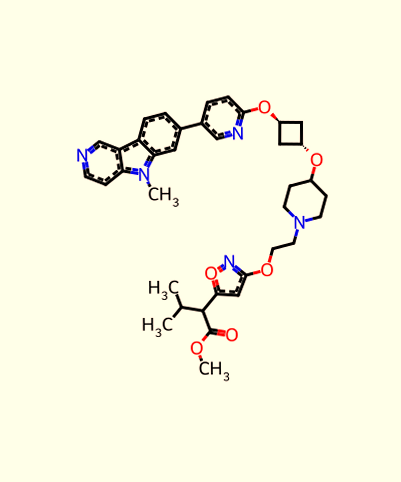 COC(=O)C(c1cc(OCCN2CCC(O[C@H]3C[C@H](Oc4ccc(-c5ccc6c7cnccc7n(C)c6c5)cn4)C3)CC2)no1)C(C)C